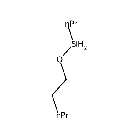 [CH2]CC[SiH2]OCCCCC